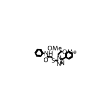 COC(Cn1c(SCC(=O)Nc2ccccc2)nnc1-c1ccccc1)OC